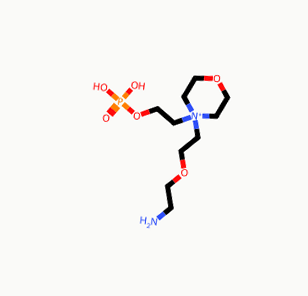 NCCOCC[N+]1(CCOP(=O)(O)O)CCOCC1